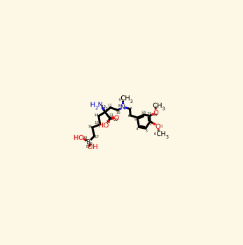 COc1ccc(CCN(C)CCC(N)(CCCCB(O)O)C(=O)O)cc1OC